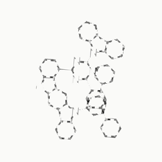 c1ccc(-c2ccc(-c3nc(-c4cccc5oc6cc7c8ccccc8n(-c8cccc(-c9ccccc9)c8)c7cc6c45)nc(-n4c5ccccc5c5ccccc54)n3)cc2)cc1